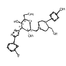 OCC1CN(C[C@@H]2O[C@H](CO)[C@H](O)[C@H](n3cc(-c4cccc(F)c4)nn3)[C@H]2O)CCN1c1ccc(O)cc1